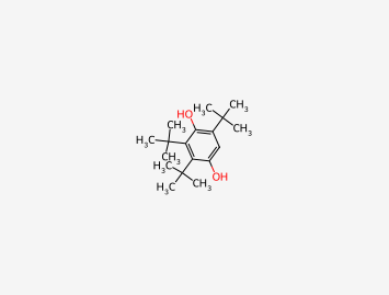 CC(C)(C)c1cc(O)c(C(C)(C)C)c(C(C)(C)C)c1O